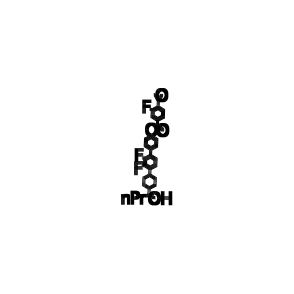 CCCC(O)C1CCC(c2ccc(-c3ccc(OC(=O)c4ccc(C5CO5)c(F)c4)cc3)c(F)c2F)CC1